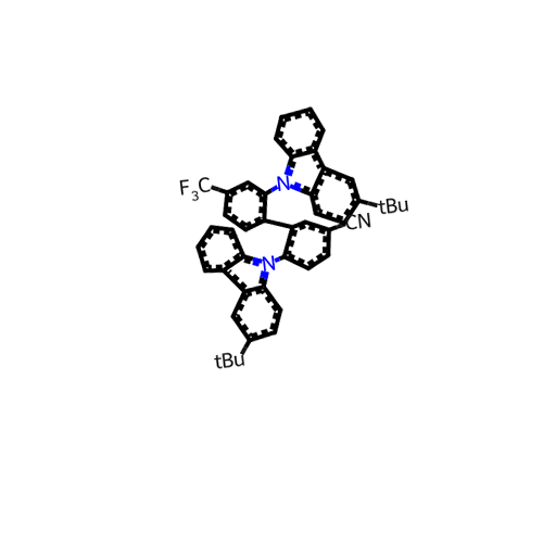 CC(C)(C)c1ccc2c(c1)c1ccccc1n2-c1ccc(C#N)cc1-c1ccc(C(F)(F)F)cc1-n1c2ccccc2c2cc(C(C)(C)C)ccc21